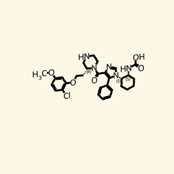 COc1ccc(Cl)c(OCC[C@@H]2CNCCN2C(=O)c2ncn([C@H]3CCCC[C@@H]3NC(=O)O)c2-c2ccccc2)c1